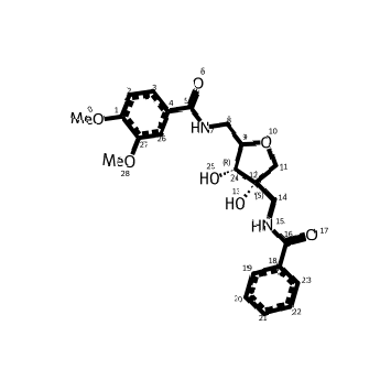 COc1ccc(C(=O)NCC2OC[C@@](O)(CNC(=O)c3ccccc3)[C@@H]2O)cc1OC